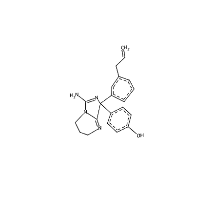 C=CCc1cccc(C2(c3ccc(O)cc3)N=C(N)N3CCCN=C32)c1